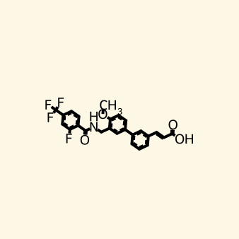 COc1ccc(-c2cccc(C=CC(=O)O)c2)cc1CNC(=O)c1ccc(C(F)(F)F)cc1F